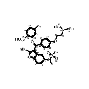 CCCCc1oc2ccc(N(C)S(C)(=O)=O)cc2c1C(=O)c1ccc(OCCN(CCCC)CCCC)cc1.Cc1ccc(S(=O)(=O)O)cc1